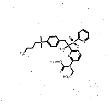 CC(C)(C)OC(=O)N(CC(=O)O)c1cccc(C(N)(Cc2ccc(C(C)(C)CCCC(F)(F)F)cc2)S(=O)(=O)c2ccccn2)n1